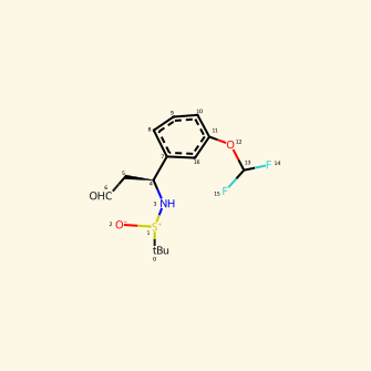 CC(C)(C)[S+]([O-])N[C@@H](CC=O)c1cccc(OC(F)F)c1